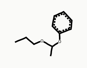 CCCOC(C)Oc1ccccc1